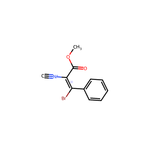 [C-]#[N+]/C(C(=O)OC)=C(\Br)c1ccccc1